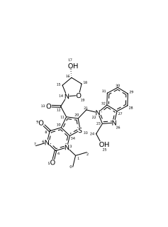 CC(C)n1c(=O)n(C)c(=O)c2c(C(=O)N3C[C@H](O)CO3)c(Cn3c(CO)nc4ccccc43)sc21